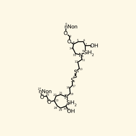 CCCCCCCCCOCOC1CCC(O)[SiH2]N(CCCSSSCCCN2CCC(OCOCCCCCCCCC)CCC(O)[SiH2]2)CC1